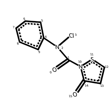 O=C(N(Cl)c1ccccc1)n1sccc1=O